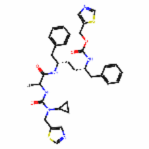 CC[C@H](NC(=O)N(Cc1cncs1)C1CC1)C(=O)N[C@@H](CC[C@@H](Cc1ccccc1)NC(=O)OCc1cncs1)Cc1ccccc1